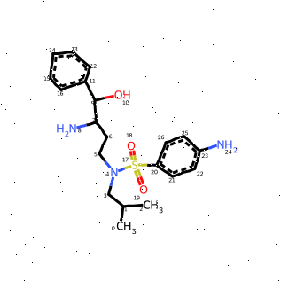 CC(C)CN(CCC(N)C(O)c1ccccc1)S(=O)(=O)c1ccc(N)cc1